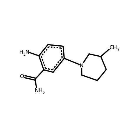 CC1CCCN(c2ccc(N)c(C(N)=O)c2)C1